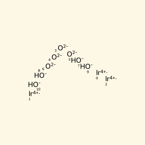 [Ir+4].[Ir+4].[Ir+4].[O-2].[O-2].[O-2].[O-2].[OH-].[OH-].[OH-].[OH-]